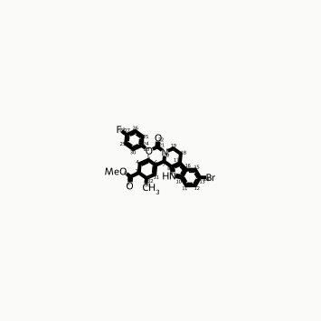 COC(=O)C1C=CC(C2c3[nH]c4ccc(Br)cc4c3CCN2C(=O)Oc2ccc(F)cc2)=CC1C